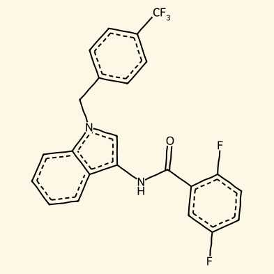 O=C(Nc1cn(Cc2ccc(C(F)(F)F)cc2)c2ccccc12)c1cc(F)ccc1F